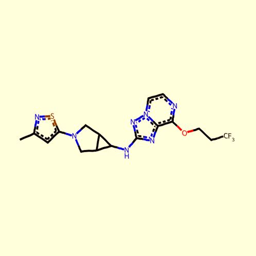 Cc1cc(N2CC3C(C2)C3Nc2nc3c(OCCC(F)(F)F)nccn3n2)sn1